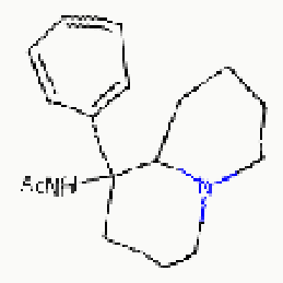 CC(=O)NC1(c2ccccc2)CCCN2CCCCC21